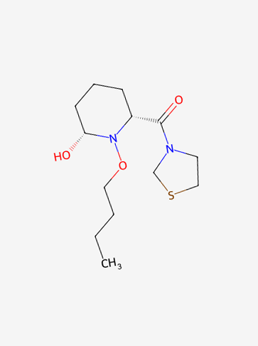 CCCCON1[C@H](O)CCC[C@@H]1C(=O)N1CCSC1